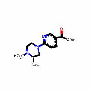 COC(=O)c1ccc(N2CCN(C(=O)O)[C@H](C)C2)nc1